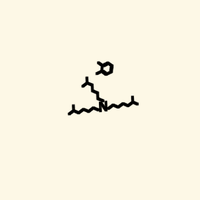 CC(C)CCCCCN(CCCCCC(C)C)CCCCCC(C)C.Cc1ccccc1C